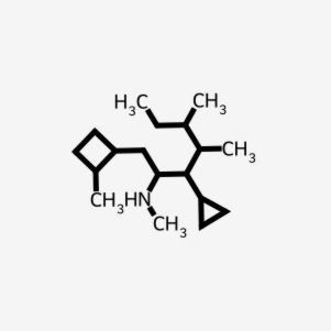 CCC(C)C(C)C(C1CC1)C(CC1CCC1C)NC